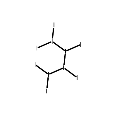 II(I)I(I)I(I)I(I)I